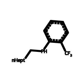 CCCCCCCCPc1ccccc1C(F)(F)F